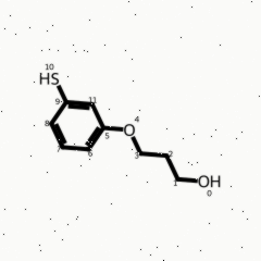 OCCCOc1cccc(S)c1